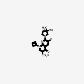 CC1(O)CCN(c2nc3c(cc2F)c(=O)c(C(=O)O)cn3C23CC(C2)C3)C1